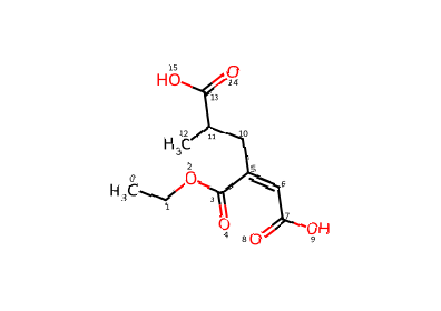 CCOC(=O)/C(=C\C(=O)O)CC(C)C(=O)O